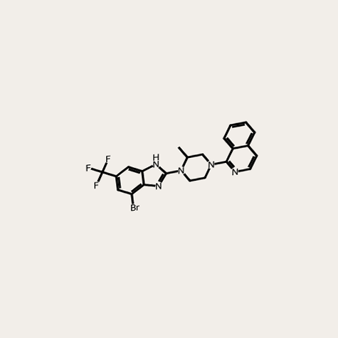 CC1CN(c2nccc3ccccc23)CCN1c1nc2c(Br)cc(C(F)(F)F)cc2[nH]1